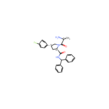 C[C@H](N)C(=O)N1C[C@@H](c2ccc(F)cc2)C[C@@H]1C(=O)NC(c1ccccc1)c1ccccc1